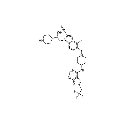 Cc1c(CN2CCC(Nc3ncnc4sc(CC(F)(F)F)cc34)CC2)ccc2c1cc(C#N)n2CC(O)C1CCNCC1